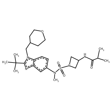 CC(C)C(=O)NC1CN(S(=O)(=O)N(C)c2ccc3c(c2)nc(C(C)(C)C)n3CC2CCOCC2)C1